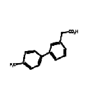 O=C(O)Cc1cccc(-c2ccc(C(F)(F)F)cc2)c1